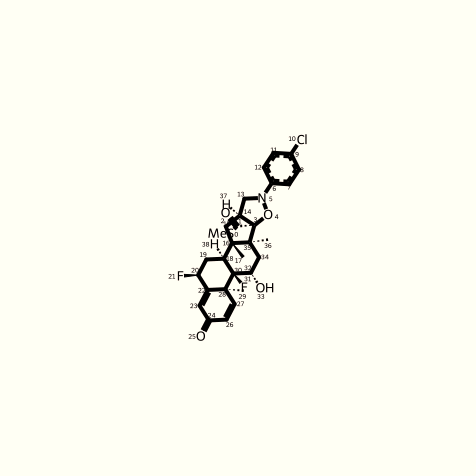 CSC(=O)[C@@]12ON(c3ccc(Cl)cc3)C[C@@H]1C[C@@]1(C)[C@@H]3C[C@H](F)C4=CC(=O)C=C[C@]4(C)[C@@]3(F)[C@@H](O)C[C@@]12C